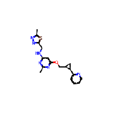 Cc1nc(NCc2nnc(C)s2)cc(OCC2CC2c2ccccn2)n1